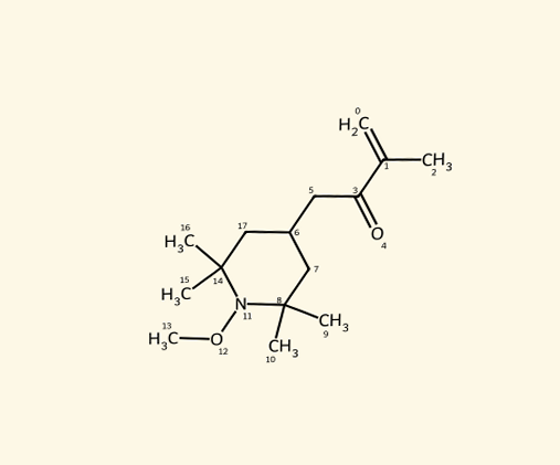 C=C(C)C(=O)CC1CC(C)(C)N(OC)C(C)(C)C1